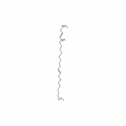 CCCCCCCCC=CCCCCCCCCNC=CCN